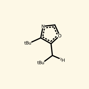 [2H]C(c1ocnc1C(C)(C)C)C(C)(C)C